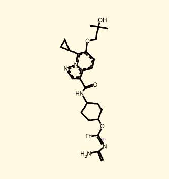 C=C(N)/N=C(\CC)OC1CCC(NC(=O)c2cnn3c(C4CC4)c(OCC(C)(C)O)ccc23)CC1